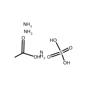 CC(=O)O.N.N.N.O=S(=O)(O)O